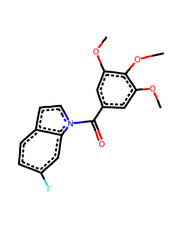 COc1cc(C(=O)n2ccc3ccc(F)cc32)cc(OC)c1OC